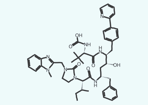 CCC(C)[C@@H](C(=O)N[C@@H](Cc1ccccc1)C[C@@H](O)[C@H](Cc1ccc(-c2ccccn2)cc1)NC(=O)[C@@H](NC(=O)O)C(C)(C)C)N1CCN(Cc2nc3ccccc3n2C)C1=O